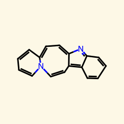 C1=CC2=CC=C3N=c4ccccc4=C3C=CN2C=C1